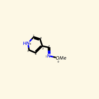 CON=CC1=CCNC=C1